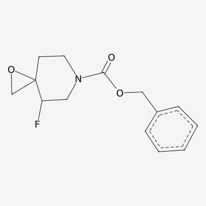 O=C(OCc1ccccc1)N1CCC2(CO2)C(F)C1